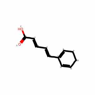 O=C(O)/C=C/C=C/C1=CCCC=C1